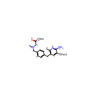 CCCCCc1cc(Cc2ccc(CN(C)CC(=O)OC)cc2)c(C)nc1N